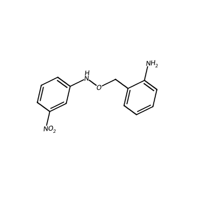 Nc1ccccc1CONc1cccc([N+](=O)[O-])c1